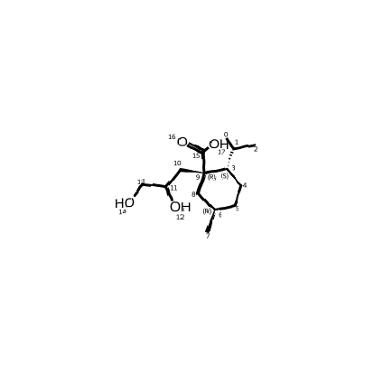 CC(C)[C@@H]1CC[C@@H](C)C[C@]1(CC(O)CO)C(=O)O